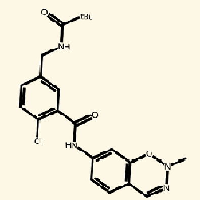 CN1N=Cc2ccc(NC(=O)c3cc(CNC(=O)C(C)(C)C)ccc3Cl)cc2O1